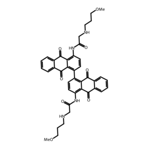 COCCCNCC(=O)Nc1ccc(-c2ccc(NC(=O)CNCCCOC)c3c2C(=O)c2ccccc2C3=O)c2c1C(=O)c1ccccc1C2=O